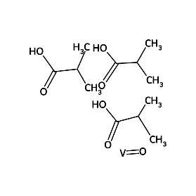 CC(C)C(=O)O.CC(C)C(=O)O.CC(C)C(=O)O.[O]=[V]